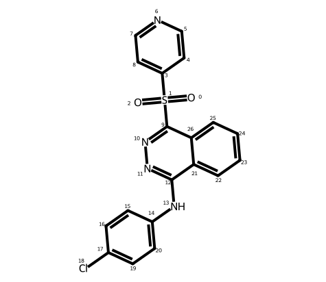 O=S(=O)(c1ccncc1)c1nnc(Nc2ccc(Cl)cc2)c2ccccc12